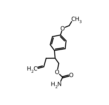 C=CCC(COC(N)=O)c1ccc(OCC)cc1